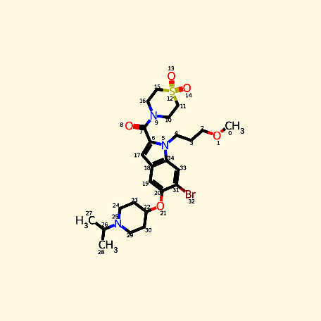 COCCCn1c(C(=O)N2CCS(=O)(=O)CC2)cc2cc(OC3CCN(C(C)C)CC3)c(Br)cc21